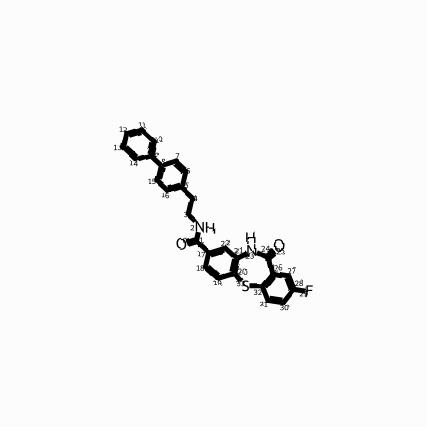 O=C(NCCc1ccc(-c2ccccc2)cc1)c1ccc2c(c1)NC(=O)c1cc(F)ccc1S2